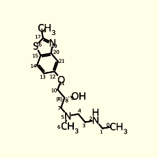 CCNCCN(C)C[C@@H](O)COc1ccc2sc(C)nc2c1